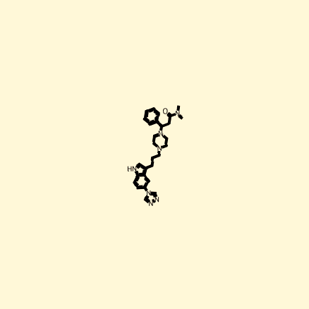 CN(C)C(=O)CC(c1ccccc1)N1CCN(CCCc2c[nH]c3ccc(-n4cnnc4)cc23)CC1